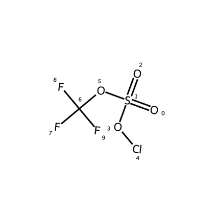 O=S(=O)(OCl)OC(F)(F)F